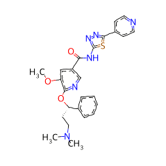 COc1cc(C(=O)Nc2nnc(-c3ccncc3)s2)cnc1O[C@@H](CCN(C)C)c1ccccc1